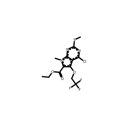 CCOC(=O)c1c(OCC(F)(F)F)c2c(Cl)nc(SC)nc2n1C